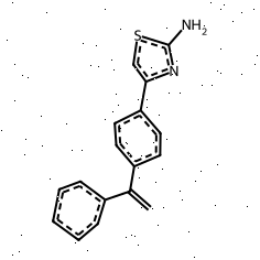 C=C(c1ccccc1)c1ccc(-c2csc(N)n2)cc1